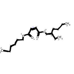 CCCCCCOC(=O)/C=C\C(=O)OCC(CC)CCCC